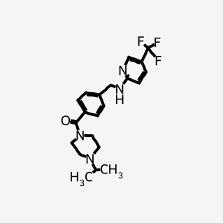 CC(C)N1CCN(C(=O)c2ccc(CNc3ccc(C(F)(F)F)cn3)cc2)CC1